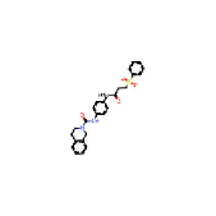 O=C(CCS(=O)(=O)c1ccccc1)[AsH]c1ccc(NC(=O)N2CCc3ccccc3C2)cc1